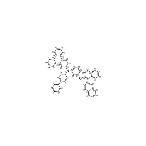 c1ccc(-c2ccc(N(c3ccc4c(c3)oc3c(-c5ccc6ccccc6c5)c5ccccc5cc34)c3ccc4c5ccccc5c5ccccc5c4c3)cc2)cc1